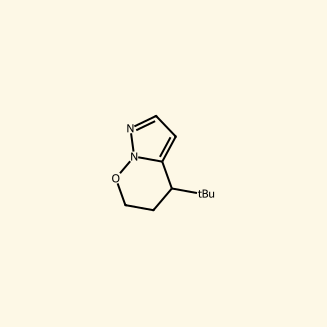 CC(C)(C)C1CCOn2nccc21